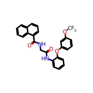 O=C(CNC(=O)c1cccc2ccccc12)Nc1ccccc1Oc1cccc(OC(F)(F)F)c1